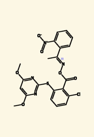 COc1cc(OC)nc(Sc2cccc(Cl)c2C(=O)O/N=C(\C)c2ccccc2[N+](=O)[O-])n1